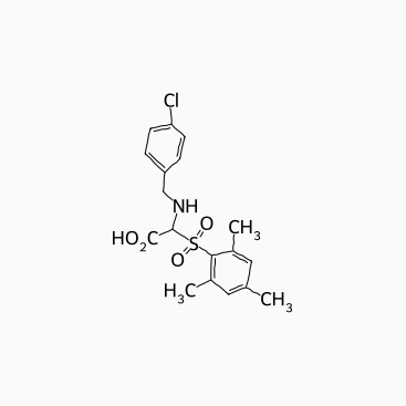 Cc1cc(C)c(S(=O)(=O)C(NCc2ccc(Cl)cc2)C(=O)O)c(C)c1